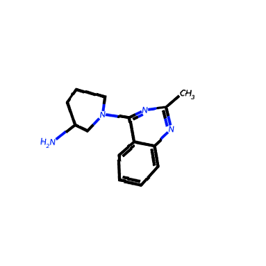 Cc1nc(N2CCCC(N)C2)c2ccccc2n1